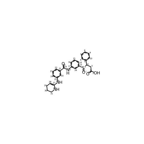 O=C(O)CC(c1ccccc1)[S+]([O-])c1cccc(NC(=O)c2cccc(NC3=CCCCN3)c2)c1